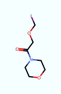 O=C(COCI)N1CCOCC1